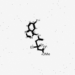 C=C(CC(CC)(CC)CC(=O)OC)Sc1ncnc2ccc(F)cc12